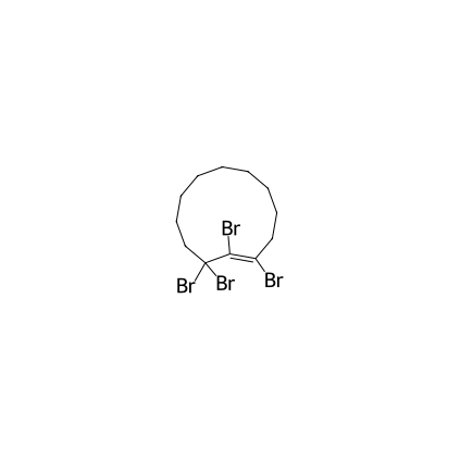 Br/C1=C(/Br)C(Br)(Br)CCCCCCCCC1